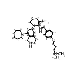 CN(C)CCCOc1ccc(CNC2C(N)CCCN2c2nc3c(c(N4CCCCCC4)n2)CNCC3)cc1